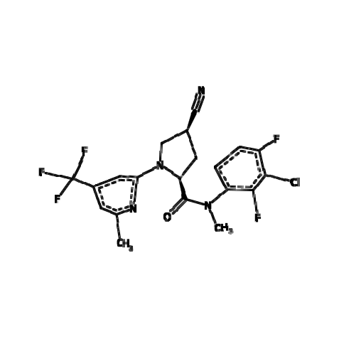 Cc1cc(C(F)(F)F)cc(N2C[C@@H](C#N)C[C@H]2C(=O)N(C)c2ccc(F)c(Cl)c2F)n1